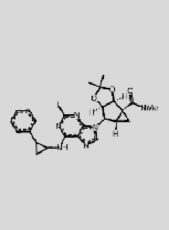 CNC(=O)[C@@]12C[C@@H]1[C@@H](n1cnc3c(NC4CC4c4ccccc4)nc(I)nc31)[C@H]1OC(C)(C)O[C@H]12